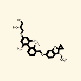 Cc1cc(OC[C@H](O)CO)cc(C)c1-c1cccc(COc2ccc3c(c2)OC2(CC2)[C@@H]3CC(=O)O)c1C